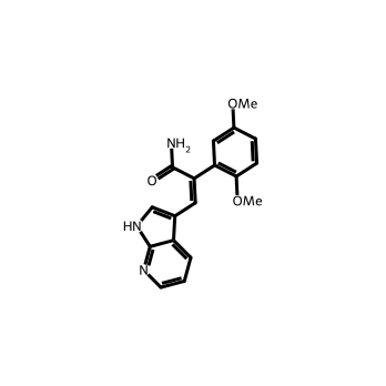 COc1ccc(OC)c(C(=Cc2c[nH]c3ncccc23)C(N)=O)c1